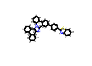 C1=CC2N=C(c3ccc(-c4ccc5c6ccccc6n6c(nc7c8ccccc8c8ccccc8c76)c5c4)cc3)SC2C=C1